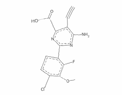 C#Cc1c(N)nc(-c2ccc(Cl)c(OC)c2F)nc1C(=O)O